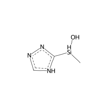 C[SiH](O)c1nnc[nH]1